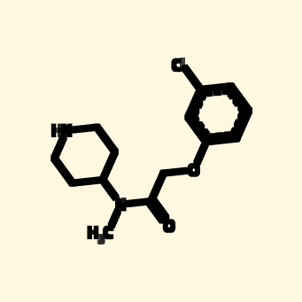 CN(C(=O)COc1cccc(Cl)c1)C1CCNCC1